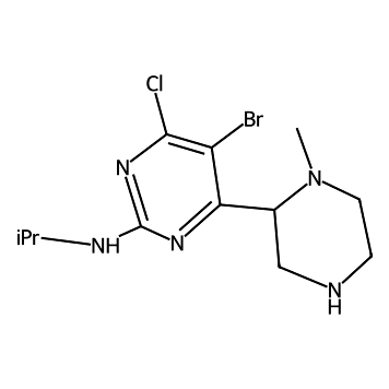 CC(C)Nc1nc(Cl)c(Br)c(C2CNCCN2C)n1